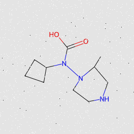 CC1CNCCN1N(C(=O)O)C1CCC1